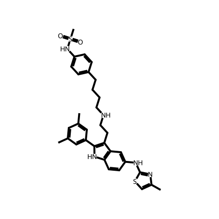 Cc1cc(C)cc(-c2[nH]c3ccc(Nc4nc(C)cs4)cc3c2CCNCCCCc2ccc(NS(C)(=O)=O)cc2)c1